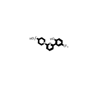 O=C(O)C1CCN(c2cccc(-c3cc(C(F)(F)F)ccc3O)n2)CC1